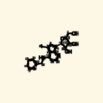 OC[C@@H]1O[C@@H](n2cc(I)c3c(NCc4ccccn4)ncnc32)[C@H](O)[C@@H]1O